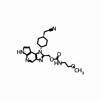 COCCNC(=O)OCc1nc2cnc3[nH]ccc3c2n1[C@H]1CC[C@H](CC#N)CC1